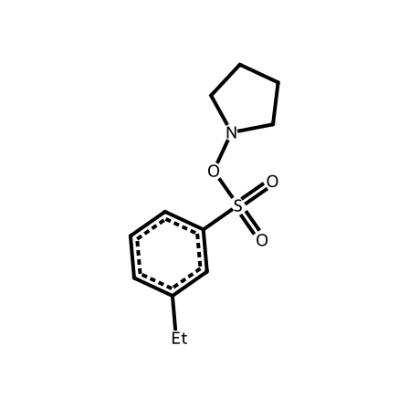 CCc1cccc(S(=O)(=O)ON2CCCC2)c1